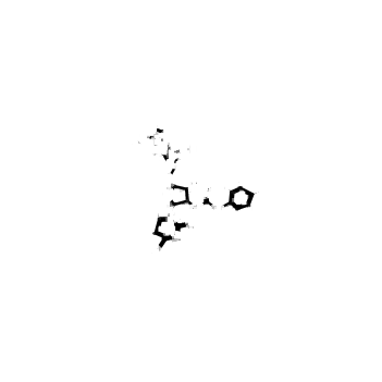 CCCOP(=O)(O)OP(=O)(O)OC[C@H]1O[C@@H](n2ccc(=O)[nH]c2=O)C(OC(=O)Oc2ccccc2)[C@H]1O